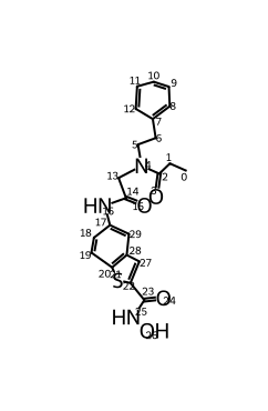 CCC(=O)N(CCc1ccccc1)CC(=O)Nc1ccc2sc(C(=O)NO)cc2c1